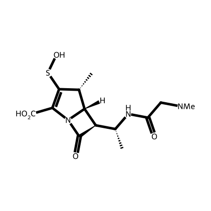 CNCC(=O)N[C@H](C)[C@H]1C(=O)N2C(C(=O)O)=C(SO)[C@H](C)[C@H]12